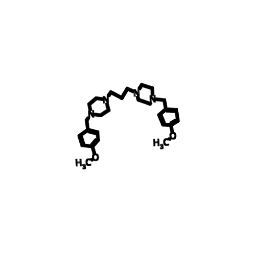 COc1ccc(CN2CCN(CCCN3CCN(Cc4ccc(OC)cc4)CC3)CC2)cc1